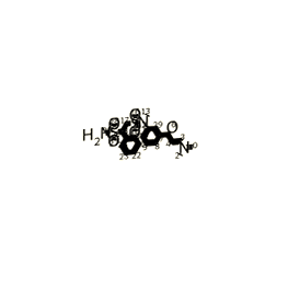 CN(C)C=CC(=O)c1cccc(N(C)S(=O)(=O)CC(c2ccccc2)S(N)(=O)=O)c1